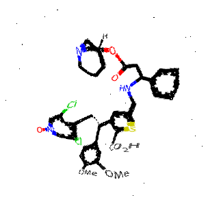 COc1ccc([C@H](Cc2c(Cl)c[n+]([O-])cc2Cl)c2cc(CNC(CC(=O)O[C@H]3CN4CCC3CC4)c3ccccc3)sc2C(=O)O)cc1OC